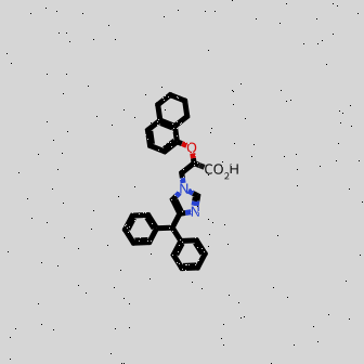 O=C(O)C(Cn1cnc(C(c2ccccc2)c2ccccc2)c1)Oc1cccc2c1CCCC2